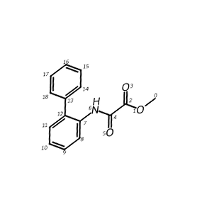 COC(=O)C(=O)Nc1ccccc1-c1ccccc1